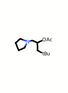 CC(=O)OC(CN1CCCC1)CC(C)(C)C